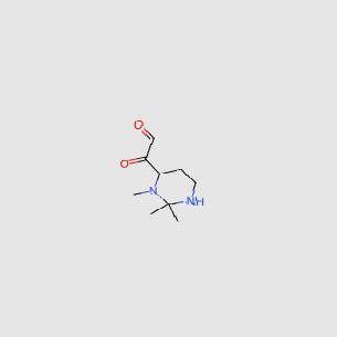 CN1C(C(=O)C=O)CCNC1(C)C